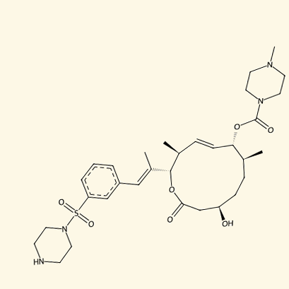 C/C(=C\c1cccc(S(=O)(=O)N2CCNCC2)c1)[C@H]1OC(=O)C[C@H](O)CC[C@H](C)[C@@H](OC(=O)N2CCN(C)CC2)/C=C/[C@@H]1C